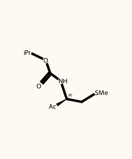 CSC[C@H](NC(=O)OC(C)C)C(C)=O